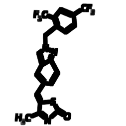 CC1=NC(=O)S/C1=C\c1ccc2nn(Cc3ccc(C(F)(F)F)cc3C(F)(F)F)cc2c1